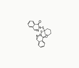 O=c1c2ccccc2cnn1SC1(Sn2ncc3ccccc3c2=O)CCCCC1